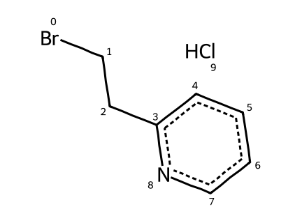 BrCCc1ccccn1.Cl